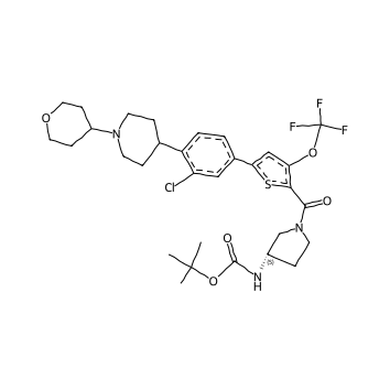 CC(C)(C)OC(=O)N[C@H]1CCN(C(=O)c2sc(-c3ccc(C4CCN(C5CCOCC5)CC4)c(Cl)c3)cc2OC(F)(F)F)C1